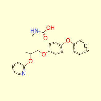 CC(COc1ccc(Oc2ccccc2)cc1)Oc1ccccn1.CNC(=O)O